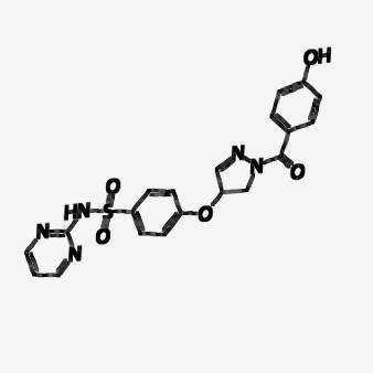 O=C(c1ccc(O)cc1)N1CC(Oc2ccc(S(=O)(=O)Nc3ncccn3)cc2)C=N1